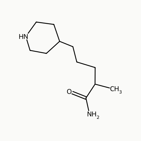 CC(CCCC1CCNCC1)C(N)=O